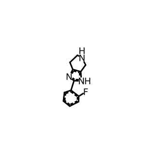 Fc1ccccc1-c1nc2c([nH]1)CNCC2